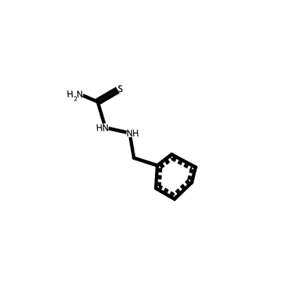 NC(=S)NNCc1ccccc1